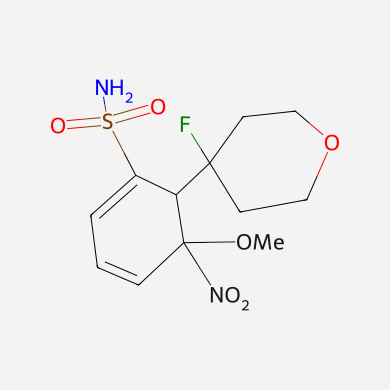 COC1([N+](=O)[O-])C=CC=C(S(N)(=O)=O)C1C1(F)CCOCC1